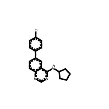 Clc1ccc(-c2ccc3ncnc(NC4CCCC4)c3c2)cc1